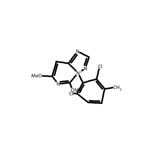 COC1=CC2=NC=N[N+]2(c2c(Cl)ccc(C)c2Cl)C(OC)=N1